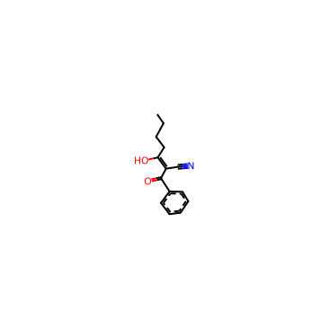 CCCC/C(O)=C(\C#N)C(=O)c1ccccc1